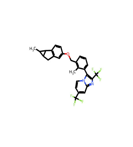 Cc1c(COc2ccc3c(c2)CC2C(C)C32)cccc1-c1c(C(F)(F)F)nc2cc(C(F)(F)F)ccn12